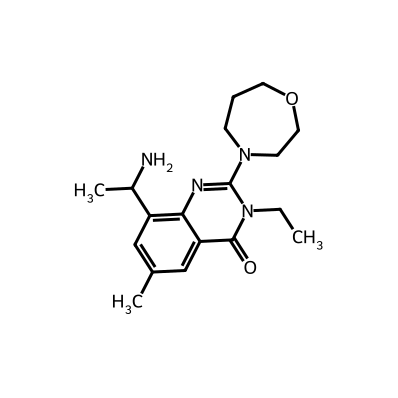 CCn1c(N2CCCOCC2)nc2c(C(C)N)cc(C)cc2c1=O